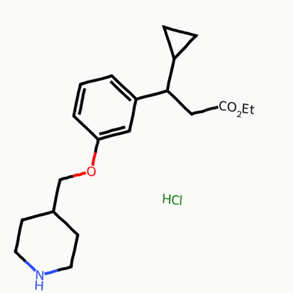 CCOC(=O)CC(c1cccc(OCC2CCNCC2)c1)C1CC1.Cl